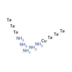 N.N.N.N.N.[Cu].[Ta].[Ta].[Ta].[Ta].[Ta].[Ta]